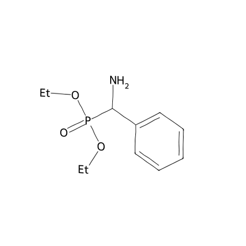 CCOP(=O)(OCC)C(N)c1ccccc1